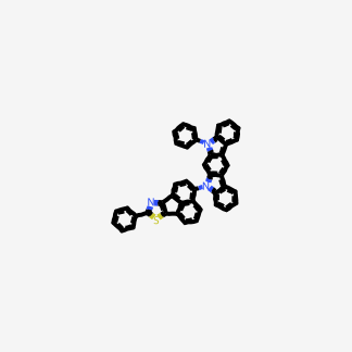 c1ccc(-c2nc3c(s2)-c2cccc4c(-n5c6ccccc6c6cc7c8ccccc8n(-c8ccccc8)c7cc65)ccc-3c24)cc1